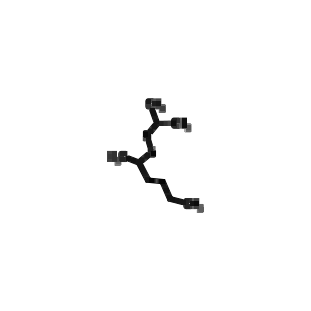 CCCCC(C)SSC(C)C